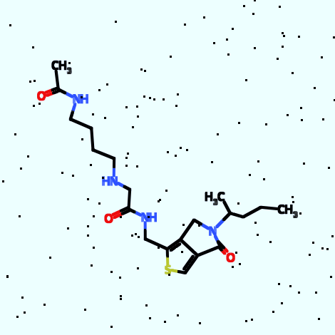 CCCC(C)N1Cc2c(csc2CNC(=O)CNCCCCNC(C)=O)C1=O